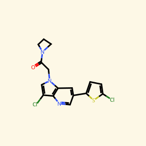 O=C(Cn1cc(Cl)c2ncc(-c3ccc(Cl)s3)cc21)N1CCC1